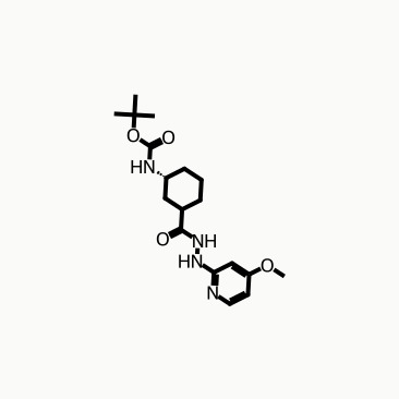 COc1ccnc(NNC(=O)C2CCC[C@@H](NC(=O)OC(C)(C)C)C2)c1